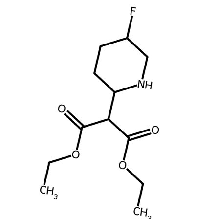 CCOC(=O)C(C(=O)OCC)C1CCC(F)CN1